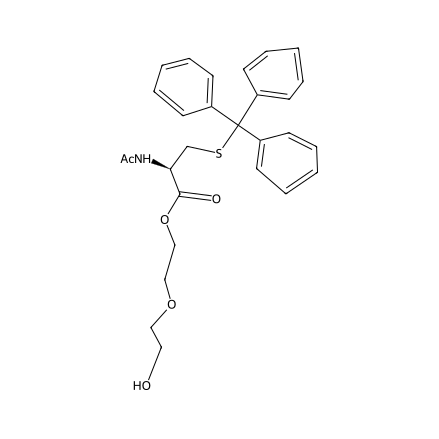 CC(=O)N[C@@H](CSC(c1ccccc1)(c1ccccc1)c1ccccc1)C(=O)OCCOCCO